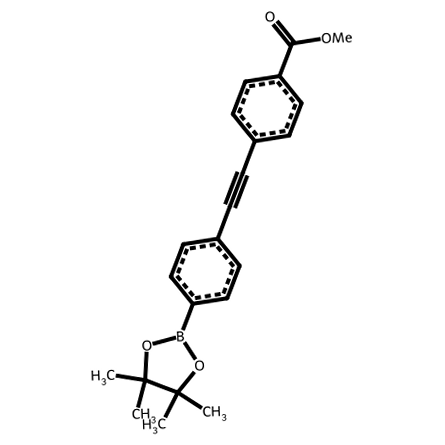 COC(=O)c1ccc(C#Cc2ccc(B3OC(C)(C)C(C)(C)O3)cc2)cc1